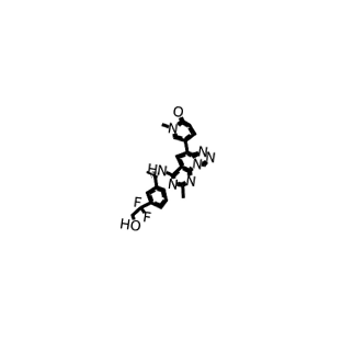 Cc1nc(N[C@H](C)c2cccc(C(F)(F)CO)c2)c2cc(-c3ccc(=O)n(C)c3)c3nncn3c2n1